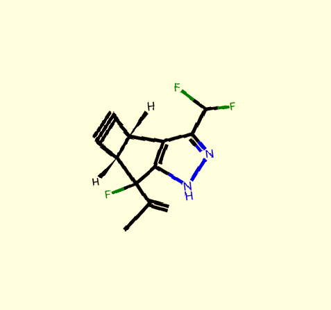 C=C(C)C1(F)c2[nH]nc(C(F)F)c2[C@H]2C#C[C@H]21